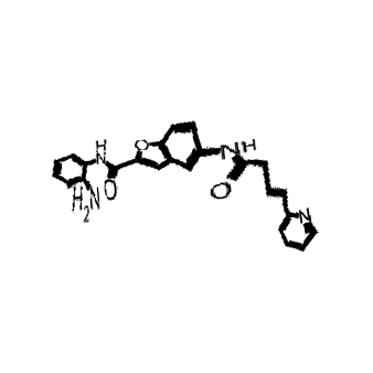 Nc1ccccc1NC(=O)c1cc2cc(NC(=O)CCCc3ccccn3)ccc2o1